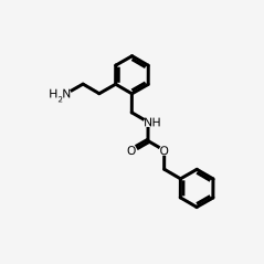 NCCc1ccccc1CNC(=O)OCc1ccccc1